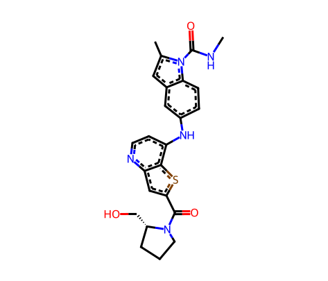 CNC(=O)n1c(C)cc2cc(Nc3ccnc4cc(C(=O)N5CCC[C@@H]5CO)sc34)ccc21